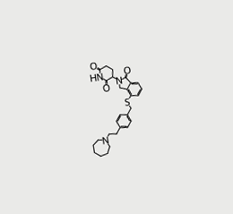 O=C1CCC(N2Cc3c(SCc4ccc(CCN5CCCCCC5)cc4)cccc3C2=O)C(=O)N1